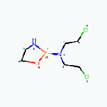 ClCCN(CCCl)[P@]1NCCO1